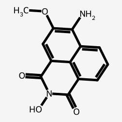 COc1cc2c3c(cccc3c1N)C(=O)N(O)C2=O